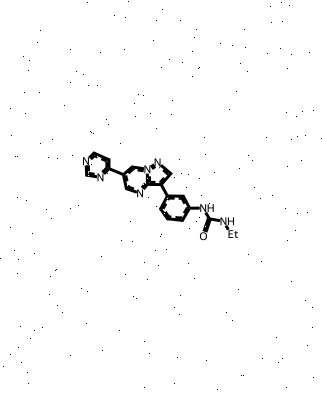 CCNC(=O)Nc1cccc(-c2cnn3cc(-c4ccncn4)cnc23)c1